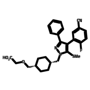 CSc1c(-c2cc(C#N)ccc2F)c(-c2ccccc2)nn1C[C@H]1CC[C@@H](COCC(=O)O)CC1